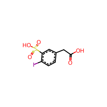 O=C(O)Cc1ccc(I)c(S(=O)(=O)O)c1